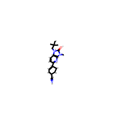 Cn1c(=O)n(CC(C)(C)C)c2ccc(C3=CCC(C#N)CC3)nc21